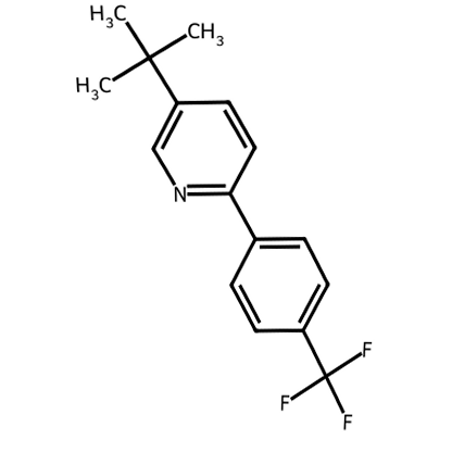 CC(C)(C)c1ccc(-c2ccc(C(F)(F)F)cc2)nc1